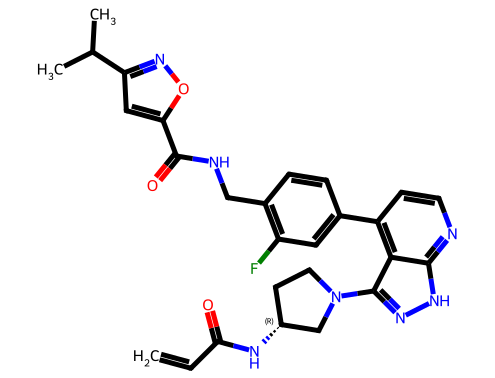 C=CC(=O)N[C@@H]1CCN(c2n[nH]c3nccc(-c4ccc(CNC(=O)c5cc(C(C)C)no5)c(F)c4)c23)C1